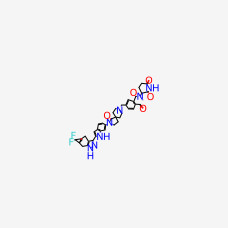 CN(C(=O)c1cc(CN2CCC3(CC2)CCN(c2ccc4cc(-c5n[nH]c6c5CC5C(F)(F)C5(C)C6)[nH]c4c2)C3=O)ccc1C=O)C1CCC(=O)NC1=O